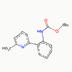 CC(C)(C)OC(=O)Nc1ccccc1-c1cccc(C(=O)O)n1